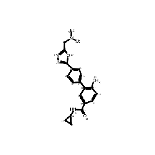 CCN(CC)Cc1nnc(-c2ccc(-c3cc(C(=O)NC4CC4)ccc3C)cc2)o1